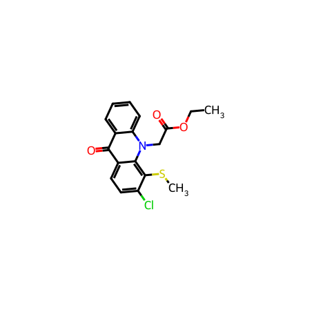 CCOC(=O)Cn1c2ccccc2c(=O)c2ccc(Cl)c(SC)c21